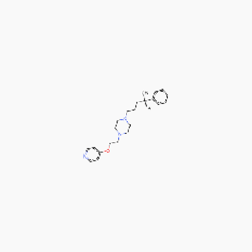 CC(C)C(C#N)(CCCN1CCN(CCOc2ccncc2)CC1)c1ccccc1